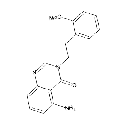 COc1ccccc1CCn1cnc2cccc(N)c2c1=O